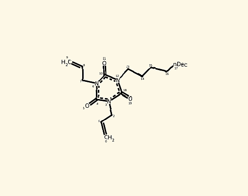 C=CCn1c(=O)n(CC=C)c(=O)n(CCCCCCCCCCCCCC)c1=O